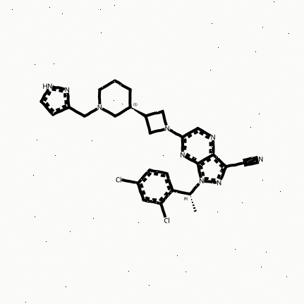 C[C@H](c1ccc(Cl)cc1Cl)n1nc(C#N)c2ncc(N3CC([C@@H]4CCCN(Cc5cc[nH]n5)C4)C3)nc21